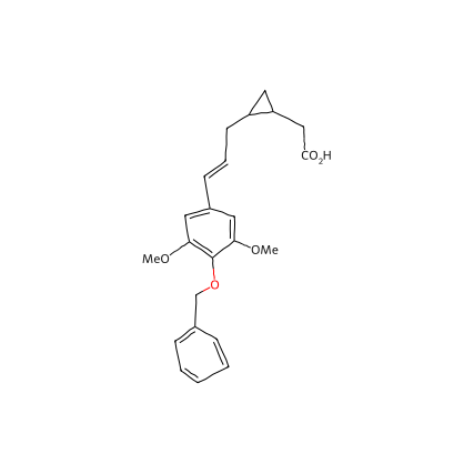 COc1cc(C=CCC2CC2CC(=O)O)cc(OC)c1OCc1ccccc1